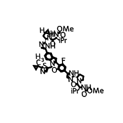 COC(=O)N[C@H](C(=O)N1CCC[C@H]1c1ncc(-c2cc(F)c3c(c2)OC(c2cnc(C4(C)CC4)s2)n2c-3cc3cc(-c4cnc([C@@H]5C[C@H]6C[C@H]6N5C(=O)[C@@H](NC(=O)OC)C(C)C)[nH]4)ccc32)[nH]1)C(C)C